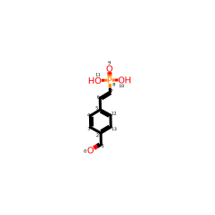 O=Cc1ccc(/C=C/P(=O)(O)O)cc1